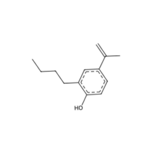 C=C(C)c1ccc(O)c(CCCC)c1